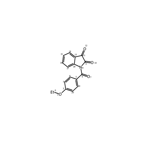 CCOc1ccc(C(=O)N2C(=O)C(=O)c3ccccc32)cc1